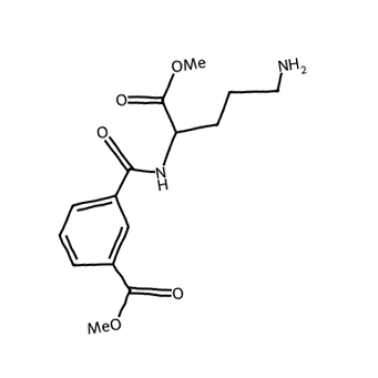 COC(=O)c1cccc(C(=O)NC(CCCN)C(=O)OC)c1